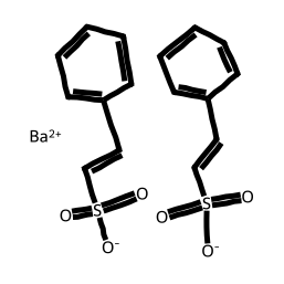 O=S(=O)([O-])C=Cc1ccccc1.O=S(=O)([O-])C=Cc1ccccc1.[Ba+2]